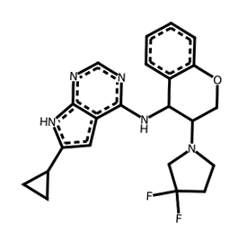 FC1(F)CCN(C2COc3ccccc3C2Nc2ncnc3[nH]c(C4CC4)cc23)C1